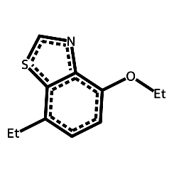 CCOc1ccc(CC)c2scnc12